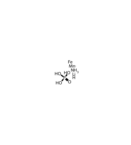 N.O=P(O)(O)O.[Fe].[LiH].[Mn]